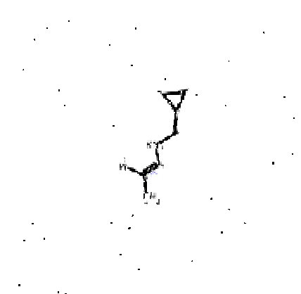 C/C(=C/NCC1CC1)C(C)C